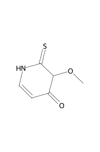 COC1C(=O)C=CNC1=S